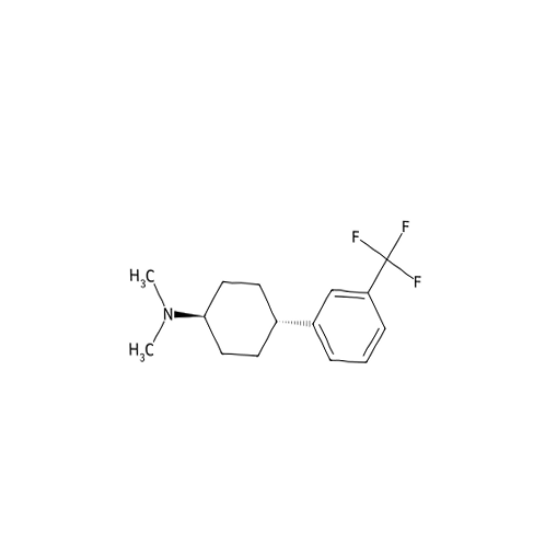 CN(C)[C@H]1CC[C@H](c2cccc(C(F)(F)F)c2)CC1